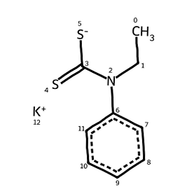 CCN(C(=S)[S-])c1ccccc1.[K+]